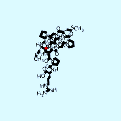 CSCC[C@H](NC(=O)[C@@H]1CCCN1C(=O)CNC(=O)[C@H](CCSC)NC(=O)[C@@H]1CCCN1C(=O)CNC(=O)[C@@H]1CCCN1C(=O)[C@@H](N)C(C)C)C(=O)NCC(=O)N1CCC[C@H]1C(=O)N[C@@H](CCCNC(=N)N)C(=O)O